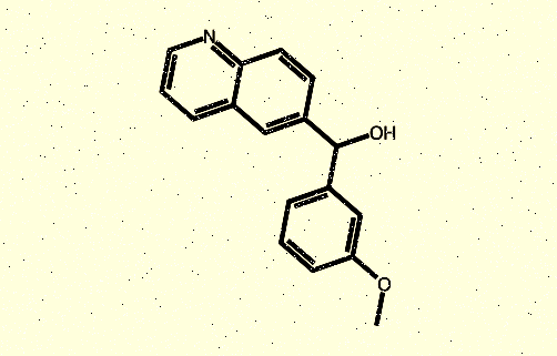 COc1cccc(C(O)c2ccc3ncccc3c2)c1